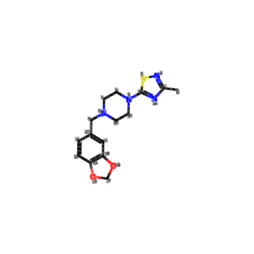 Cc1nsc(N2CCN(Cc3ccc4c(c3)OCO4)CC2)n1